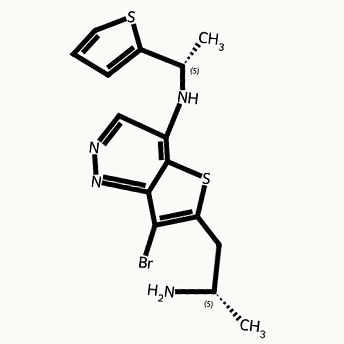 C[C@H](N)Cc1sc2c(N[C@@H](C)c3cccs3)cnnc2c1Br